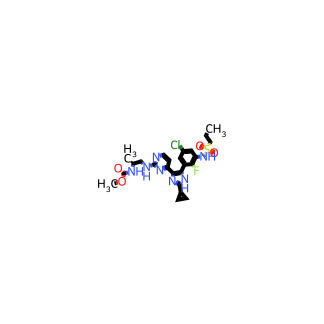 CCCS(=O)(=O)Nc1cc(Cl)cc(-c2[nH]c(C3CC3)nc2-c2ccnc(NC[C@H](C)NC(=O)OC)n2)c1F